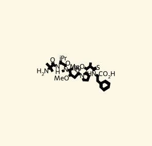 CCC(C)C(C(CC(=O)N1CCC[C@H]1C(OC)C(C)C(=S)NC(Cc1ccccc1)C(=O)O)OC)N(C)C(=O)C(NC(=O)C(C)(C)N)C(C)C